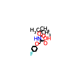 CC(C)(C)OC(=O)N[C@H](COc1ccc(F)cc1)C(=O)O